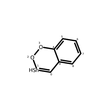 [CH]1=[SnH][O]Oc2ccccc21